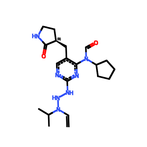 C=CN(NNc1ncc(C[C@@H]2CCNC2=O)c(N(C=O)C2CCCC2)n1)C(C)C